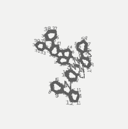 Clc1cc(-n2c3ccccc3c3ccccc32)ccc1-n1c2ccc3c4cc(-c5ccccc5)c(-c5ccccc5)cc4c4ccc(c2c34)n2c3c(ccc4sc5ccccc5c43)nc12